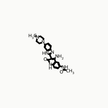 CC(=O)Nc1ccc2[nH]c(=O)c(-c3nc4ccc(N5CCN(C)CC5)cc4[nH]3)c(N)c2c1